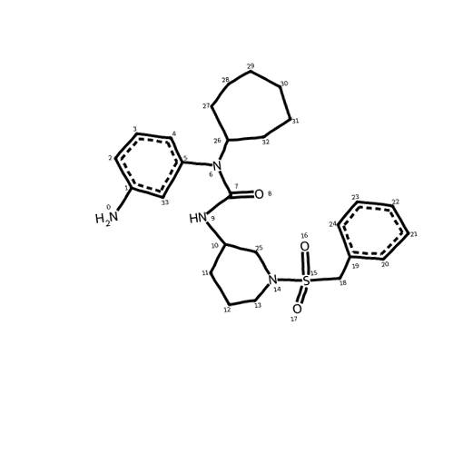 Nc1cccc(N(C(=O)NC2CCCN(S(=O)(=O)Cc3ccccc3)C2)C2CCCCCC2)c1